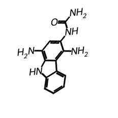 NC(=O)Nc1cc(N)c2[nH]c3ccccc3c2c1N